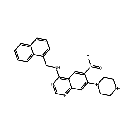 O=[N+]([O-])c1cc2c(NCc3cccc4ccccc34)ncnc2cc1N1CCNCC1